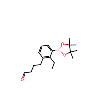 CCc1c(CCCC=O)cccc1B1OC(C)(C)C(C)(C)O1